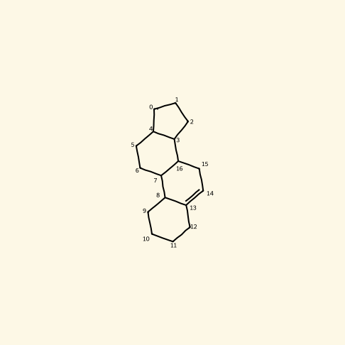 [CH]1CCC2C1CCC1C3CCCCC3=CCC21